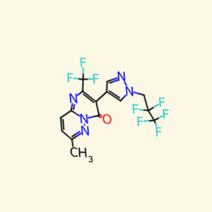 Cc1ccc2nc(C(F)(F)F)c(-c3cnn(CC(F)(F)C(F)(F)F)c3)c(=O)n2n1